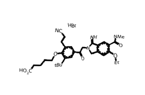 Br.CCOc1cc2c(cc1C(=O)NC)C(=N)N(CC(=O)c1cc(CCC#N)c(OCCCCC(=O)O)c(C(C)(C)C)c1)C2